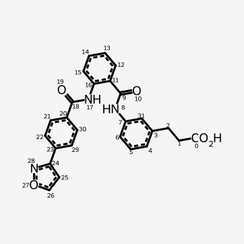 O=C(O)CCc1cccc(NC(=O)c2ccccc2NC(=O)c2ccc(-c3ccon3)cc2)c1